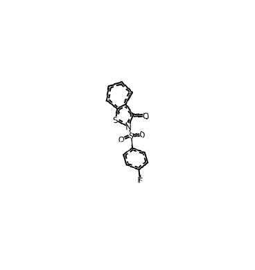 O=c1c2ccccc2sn1S(=O)(=O)c1ccc(F)cc1